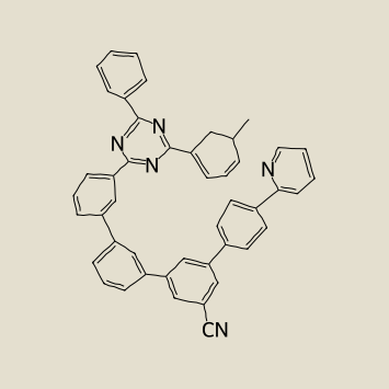 CC1C=CC=C(c2nc(-c3ccccc3)nc(-c3cccc(-c4cccc(-c5cc(C#N)cc(-c6ccc(-c7ccccn7)cc6)c5)c4)c3)n2)C1